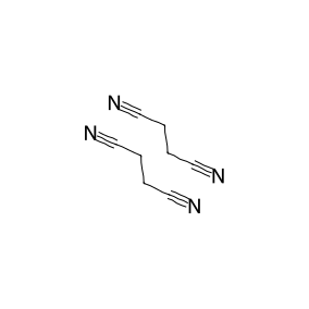 N#CCCC#N.N#CCCC#N